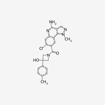 Cc1ccc(C2(O)CN(C(=O)c3cc4c(cc3Cl)nc(N)c3cnn(C)c34)C2)cc1